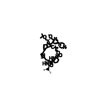 CO[C@@H](C)c1ncc(N2CCN(C)CC2)cc1-c1c2c3cc(ccc3n1CCOC(C)C)-c1csc(n1)[C@@H](C)[C@H](NC(=O)[C@H]1[C@H](C)[C@@H]1C)C(=O)N1CCC[C@H](N1)C(=O)OCC(C)(C)C2